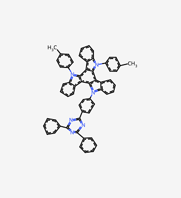 Cc1ccc(-n2c3ccccc3c3c2c2c4ccccc4n(-c4ccc(-c5nc(-c6ccccc6)nc(-c6ccccc6)n5)cc4)c2c2c4ccccc4n(-c4ccc(C)cc4)c32)cc1